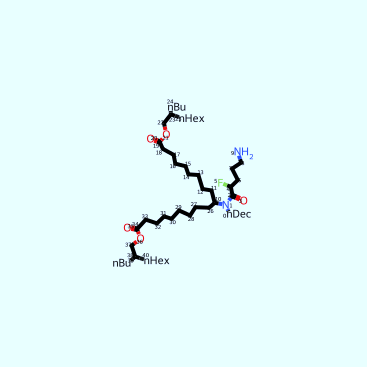 CCCCCCCCCCN(C(=O)C(F)CCCN)C(CCCCCCCCC(=O)OCC(CCCC)CCCCCC)CCCCCCCCC(=O)OCC(CCCC)CCCCCC